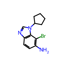 Nc1ccc2ncn(C3CCCC3)c2c1Br